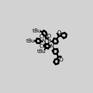 Cc1cc(C(C)(C)C)cc(C)c1N1c2cc(C(C)(C)C)cc3c2B(c2cc(-c4coc5ccccc45)ccc2N3c2ccc(-c3coc4ccccc34)cc2)c2oc3ccc(C(C)(C)C)cc3c21